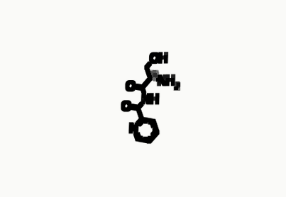 N[C@@H](CO)C(=O)NC(=O)c1ccccn1